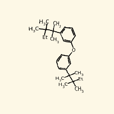 CCC(C)(C)C(C)(C)c1cccc(Oc2cccc(C(C)(C)C(C)(C)CC)c2)c1